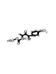 CCCCOC(=O)NC(C)C(=O)C(Br)c1ccc([N+](=O)[O-])cc1